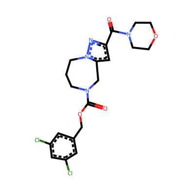 O=C(OCc1cc(Cl)cc(Cl)c1)N1CCCn2nc(C(=O)N3CCOCC3)cc2C1